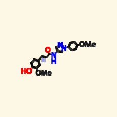 COc1ccc(-n2cc(NC(=O)/C=C/c3ccc(O)c(OC)c3)cn2)cc1